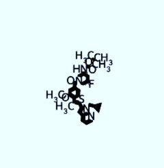 COc1cc(C(=O)N2C[C@H](F)C[C@@H](NC(=O)OC(C)(C)C)C2)cc2sc(-c3cc4cccnc4n3CC3CC3)c(C)c12